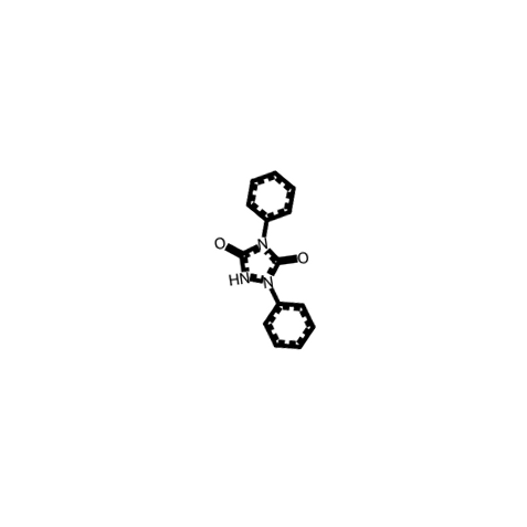 O=c1[nH]n(-c2ccccc2)c(=O)n1-c1ccccc1